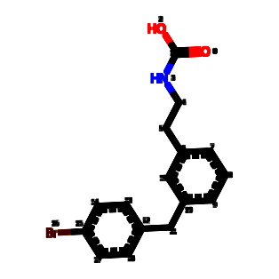 O=C(O)NCCc1cccc(Cc2ccc(Br)cc2)c1